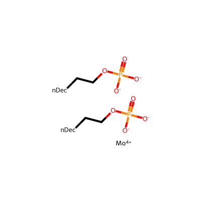 CCCCCCCCCCCCOP(=O)([O-])[O-].CCCCCCCCCCCCOP(=O)([O-])[O-].[Mo+4]